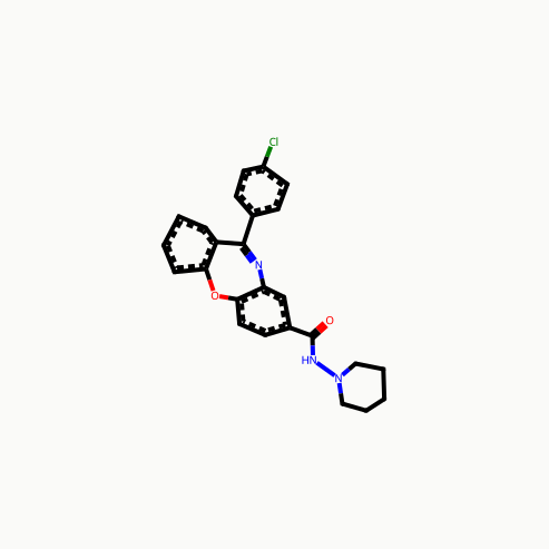 O=C(NN1CCCCC1)c1ccc2c(c1)N=C(c1ccc(Cl)cc1)c1ccccc1O2